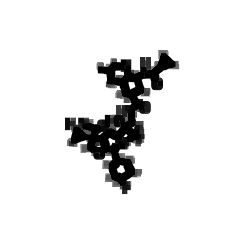 Cc1cnc2c(NC(=O)C3CC3)cc(C(=O)NCC(O)(c3cc4c(c(-c5ccc(F)cc5)n3)OC[C@@]4(C(N)=O)C3CC3)C(F)(F)F)cc2c1